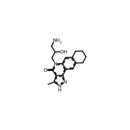 Cc1[nH]nc2c1c(=O)n(CC(O)CN)c1cc3c(cc21)CCCC3